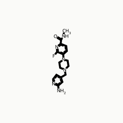 CNC(=O)c1ccc(N2CCN(Cc3ccnc(N)c3)CC2)c(F)n1